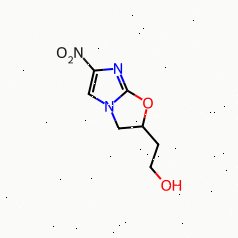 O=[N+]([O-])c1cn2c(n1)OC(CCO)C2